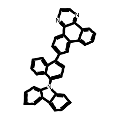 c1ccc2c(-n3c4ccccc4c4ccccc43)ccc(-c3ccc4c(c3)c3ccccc3c3nccnc43)c2c1